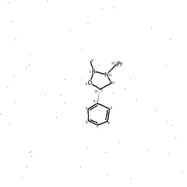 CB1O[C@@H](c2ccccc2)CN1C(C)C